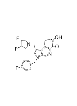 O=C1c2ncc3c(c(CN4C[C@@H](F)[C@H](F)C4)cn3Cc3ccc(F)cc3)c2CCN1O